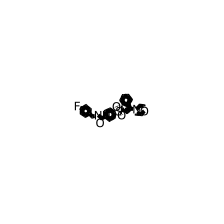 O=C(NCc1ccc(F)cc1)c1ccc(S(=O)(=O)n2cc(N3CCOCC3)c3ccccc32)cc1